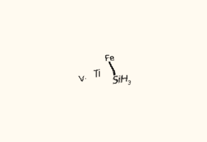 [SiH3][Fe].[Ti].[V]